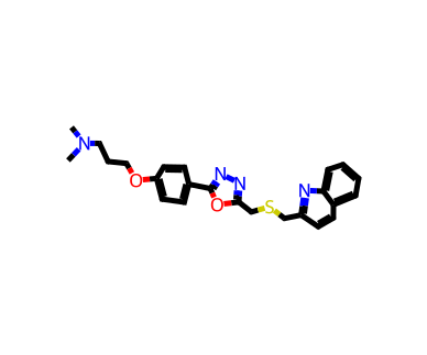 CN(C)CCCOc1ccc(-c2nnc(CSCc3ccc4ccccc4n3)o2)cc1